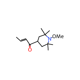 CC=CC(=O)C1CC(C)(C)N(OC)C(C)(C)C1